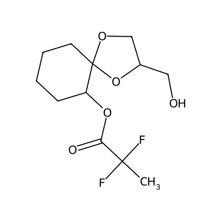 CC(F)(F)C(=O)OC1CCCCC12OCC(CO)O2